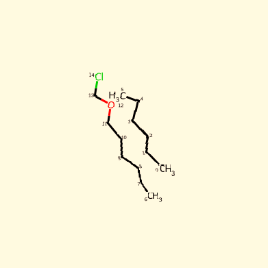 CCCCCC.CCCCCCOCCl